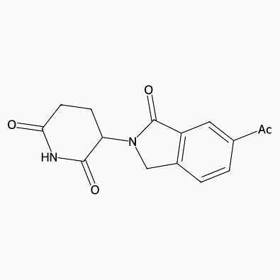 CC(=O)c1ccc2c(c1)C(=O)N(C1CCC(=O)NC1=O)C2